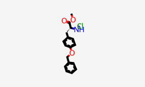 COC(=O)[C@@H](Cc1ccc(OCc2ccccc2)cc1)NCl